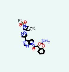 CCS(=O)(=O)N1CC(CC#N)(n2cc(-c3ncnc4c3ccn4C(=O)[C@@H](OC(N)=O)c3ccccc3)cn2)C1